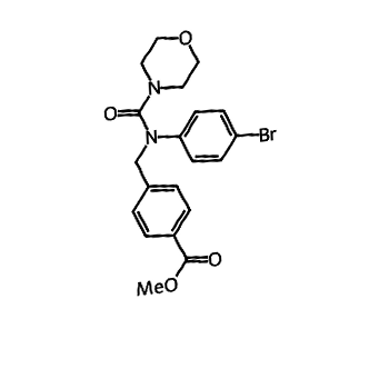 COC(=O)c1ccc(CN(C(=O)N2CCOCC2)c2ccc(Br)cc2)cc1